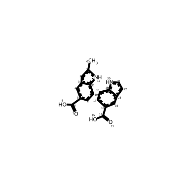 Cc1cc2cc(C(=O)O)ccc2[nH]1.O=C(O)c1ccc2[nH]ccc2c1